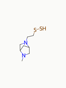 CN1CC2CC1CN2CCSS